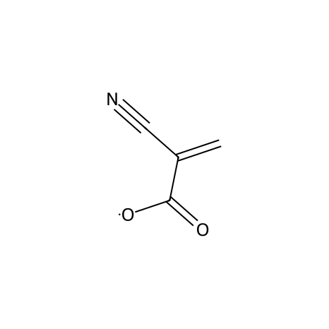 C=C(C#N)C([O])=O